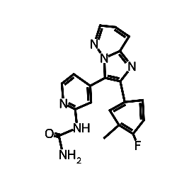 Cc1cc(-c2nc3cccnn3c2-c2ccnc(NC(N)=O)c2)ccc1F